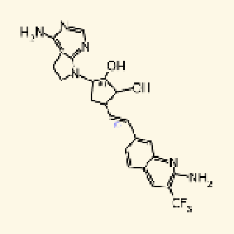 Nc1nc2cc(/C=C/C3CC(N4CCc5c(N)ncnc54)[C@@H](O)C3O)ccc2cc1C(F)(F)F